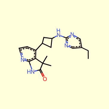 CCc1cnc(NC2CC(c3ccnc4c3C(C)(C)C(=O)N4)C2)nc1